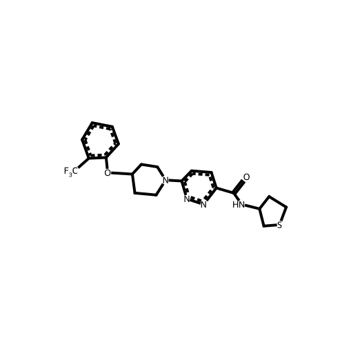 O=C(NC1CCSC1)c1ccc(N2CCC(Oc3ccccc3C(F)(F)F)CC2)nn1